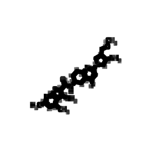 COCC1CN(c2cc(F)c3c(n2)CCC(NC(=O)c2sc4nc(C)cc(C)c4c2N)C3)CC1N